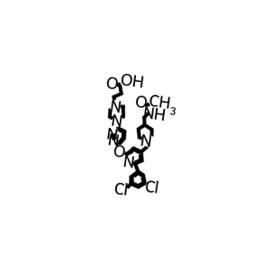 CC(=O)NCC1CCN(Cc2cc(Oc3ccc(N4CCN(CCC(=O)O)CC4)nn3)nc(-c3cc(Cl)cc(Cl)c3)c2)CC1